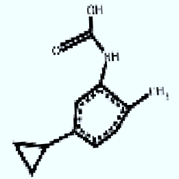 Cc1ccc(C2CC2)cc1NC(=O)O